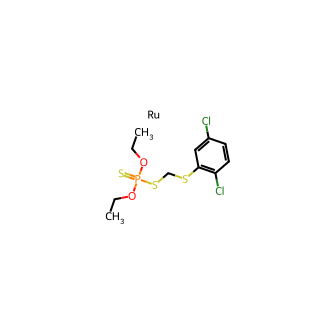 CCOP(=S)(OCC)SCSc1cc(Cl)ccc1Cl.[Ru]